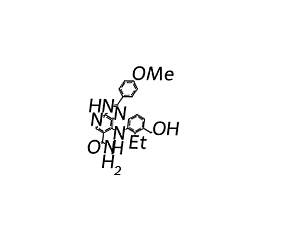 CCc1c(CO)cccc1Nc1c(C(N)=O)cnc2[nH]c(-c3ccc(OC)cc3)nc12